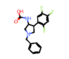 O=C(O)NC1CN(Cc2ccccc2)CC1c1cc(F)c(F)cc1F